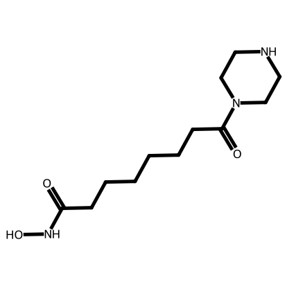 O=C(CCCCCCC(=O)N1CCNCC1)NO